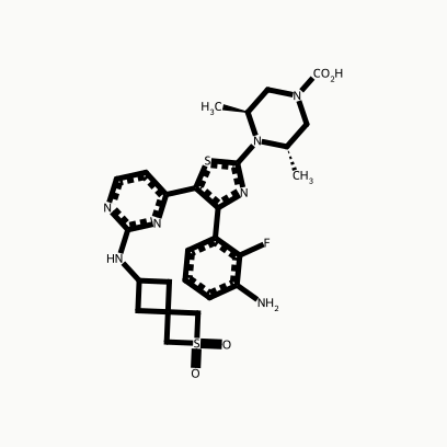 C[C@H]1CN(C(=O)O)C[C@H](C)N1c1nc(-c2cccc(N)c2F)c(-c2ccnc(NC3CC4(C3)CS(=O)(=O)C4)n2)s1